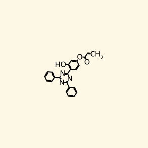 C=CC(=O)Oc1ccc(-c2nc(-c3ccccc3)nc(-c3ccccc3)n2)c(O)c1